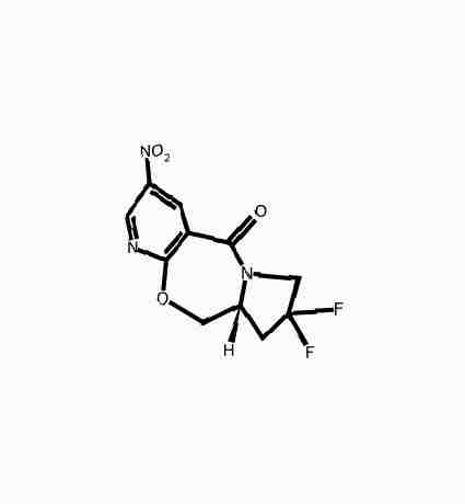 O=C1c2cc([N+](=O)[O-])cnc2OC[C@H]2CC(F)(F)CN12